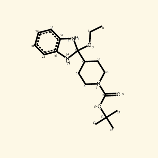 CCOC1(C2CCN(C(=O)OC(C)(C)C)CC2)Nc2ccccc2N1